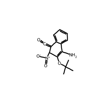 CC(C)(C)OC1=C(N)c2ccccc2C(=C=O)C1[N+](=O)[O-]